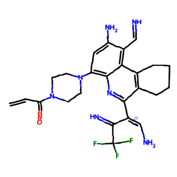 C=CC(=O)N1CCN(c2cc(N)c(C=N)c3c4c(c(/C(=C/N)C(=N)C(F)(F)F)nc23)CCCC4)CC1